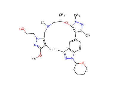 CCOc1nn(CCO)c2c1/C=C/c1nn(C3CCCCO3)c3ccc(cc13)-c1c(C#N)nn(C)c1O[C@@H](C)CN(CC)C2